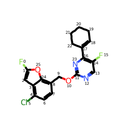 Fc1cc2c(Cl)ccc(COc3ncc(F)c(C4=CCCCC4)n3)c2o1